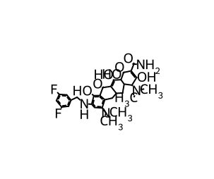 CN(C)c1cc(NCc2cc(F)cc(F)c2)c(O)c2c1CC1CC3C(N(C)C)C(O)=C(C(N)=O)C(=O)C3(O)C(O)=C1C2=O